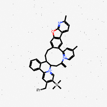 C=C1CC2C(CCc3cc4oc5nc(C)ccc5c4cc3-c3cc(C)cc[n+]31)c1ccccc1-c1cc(CC(C)C)c([Si](C)(C)C)c[n+]12